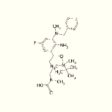 CN(CCCC(O[Si](C)(C)C(C)(C)C)c1cc(F)cc(N(C)Cc2ccccc2)c1N)C(=O)O